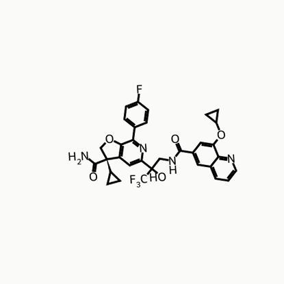 NC(=O)[C@]1(C2CC2)COc2c1cc(C(O)(CNC(=O)c1cc(OC3CC3)c3ncccc3c1)C(F)(F)F)nc2-c1ccc(F)cc1